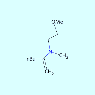 C=C(CCCC)N(C)CCOC